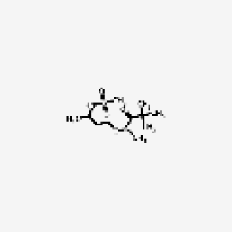 CC(CCON(C)C(=O)C(C)(C)C)NS(C)(=O)=O